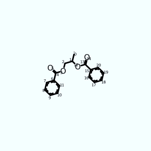 [CH2]C(COC(=O)c1ccccc1)OC(=O)c1ccccc1